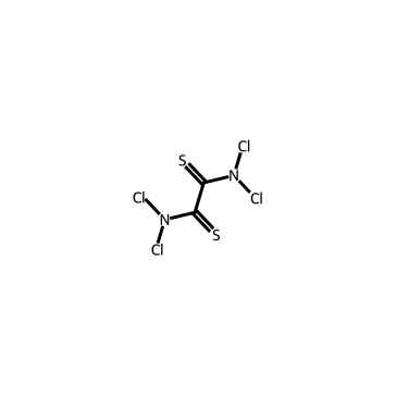 S=C(C(=S)N(Cl)Cl)N(Cl)Cl